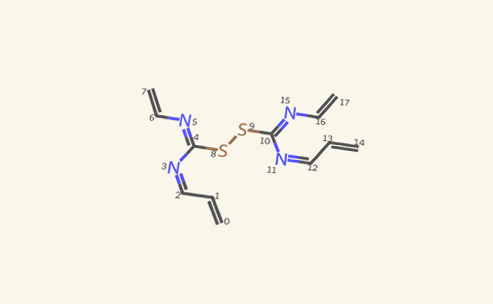 C=C/C=N\C(=N/C=C)SSC(/N=C\C=C)=N/C=C